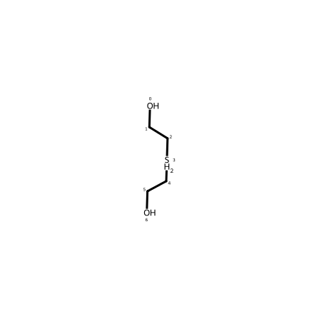 OCC[SH2]CCO